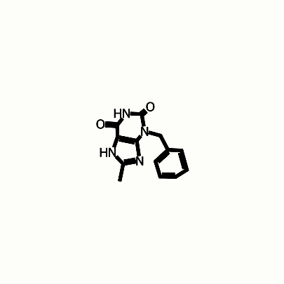 Cc1nc2c([nH]1)c(=O)[nH]c(=O)n2Cc1ccccc1